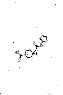 O=C(Nc1cncs1)[C@H]1CC12CCN(C(=O)O)CC2